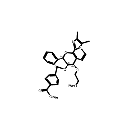 COCCO[C@@H]1c2ccn3c(C)c(C)nc3c2O[C@H](c2ccccc2)[C@@H]1OC(=O)c1ccc(C(=O)OC)cc1